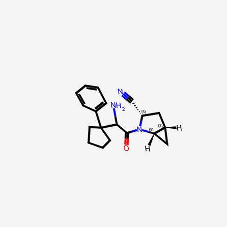 N#C[C@@H]1C[C@@H]2C[C@@H]2N1C(=O)C(N)C1(c2ccccc2)CCCC1